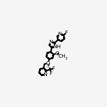 COc1cc(OCc2cccnc2C(F)(F)F)ccc1-c1cnc(-c2ccc(F)nc2)[nH]1